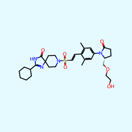 Cc1cc(N2C(=O)CC[C@@H]2COCCO)cc(C)c1C=CS(=O)(=O)N1CCC2(CC1)N=C(C1CCCCC1)NC2=O